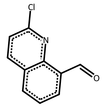 O=Cc1cccc2ccc(Cl)nc12